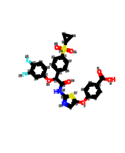 O=C(O)c1ccc(Oc2cnc(NC(=O)C(Oc3ccc(F)c(F)c3)c3ccc(S(=O)(=O)C4CC4)cc3)s2)cc1